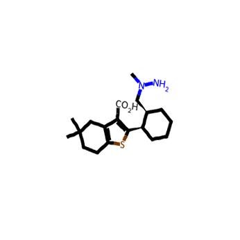 CN(N)C[C@H]1CCCC[C@H]1c1sc2c(c1C(=O)O)CC(C)(C)CC2